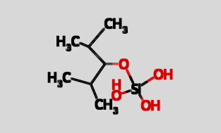 CC(C)C(O[Si](O)(O)O)C(C)C